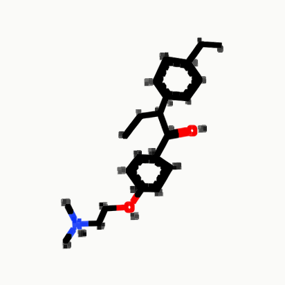 CCc1ccc(C(CC)C(=O)c2ccc(OCCN(C)C)cc2)cc1